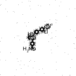 CN1CCN(c2ccc(-c3ccc(Nc4ncc(-c5ccc(C(N)=O)cc5)n5ccnc45)cc3)cc2Cl)CC1